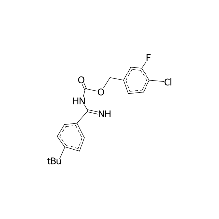 CC(C)(C)c1ccc(C(=N)NC(=O)OCc2ccc(Cl)c(F)c2)cc1